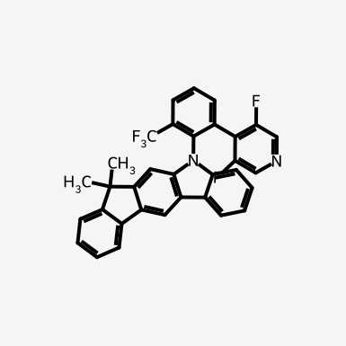 CC1(C)c2ccccc2-c2cc3c4ccccc4n(-c4c(-c5c(F)cncc5F)cccc4C(F)(F)F)c3cc21